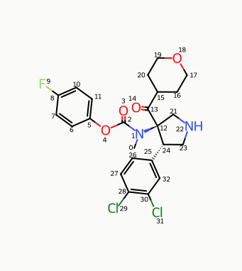 CN(C(=O)Oc1ccc(F)cc1)[C@@]1(C(=O)C2CCOCC2)CNC[C@@H]1c1ccc(Cl)c(Cl)c1